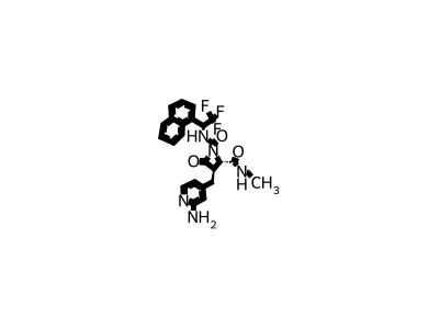 CCNC(=O)[C@@H]1[C@@H](Cc2ccnc(N)c2)C(=O)N1C(=O)N[C@@H](c1cccc2ccccc12)C(F)(F)F